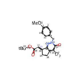 COc1ccc(Cn2nc3c(c(C(F)(F)F)c2=O)CC/C3=C\C(=O)OC(C)(C)C)cc1